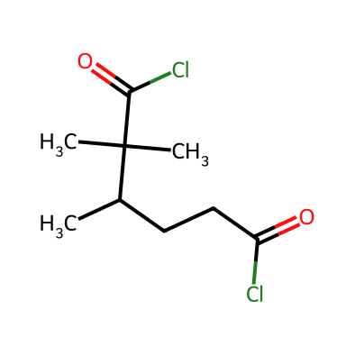 CC(CCC(=O)Cl)C(C)(C)C(=O)Cl